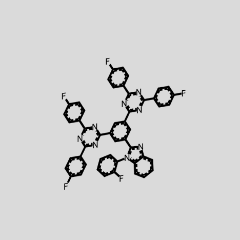 Fc1ccc(-c2nc(-c3ccc(F)cc3)nc(-c3cc(-c4nc(-c5ccc(F)cc5)nc(-c5ccc(F)cc5)n4)cc(-c4nc5ccccc5n4-c4ccccc4F)c3)n2)cc1